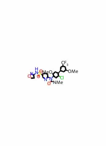 CNC(=O)N(c1ccc(S(=O)(=O)Nc2ccon2)cn1)c1cc(Cl)c(-c2cc(OC)cc(C(F)(F)F)c2)cc1OC